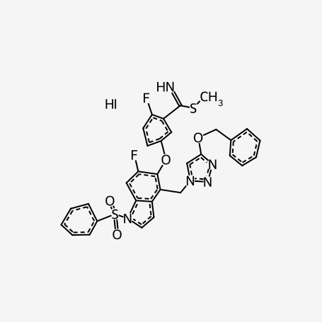 CSC(=N)c1cc(Oc2c(F)cc3c(ccn3S(=O)(=O)c3ccccc3)c2Cn2cc(OCc3ccccc3)nn2)ccc1F.I